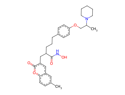 Cc1ccc2oc(=O)c(CC(CCCc3ccc(OCC(C)N4CCCCC4)cc3)C(=O)NO)cc2c1